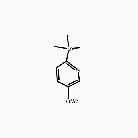 COc1cc[c]([Sn]([CH3])([CH3])[CH3])nc1